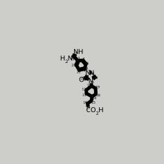 N=C(N)c1ccc(-n2ncn(C3CCC(CCC(=O)O)CC3)c2=O)cc1